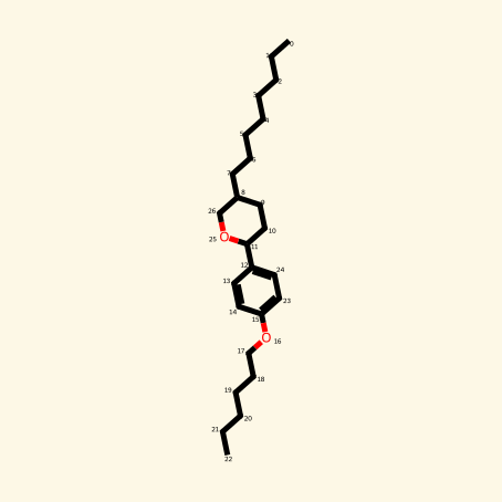 CCCCCCCCC1CCC(c2ccc(OCCCCCC)cc2)OC1